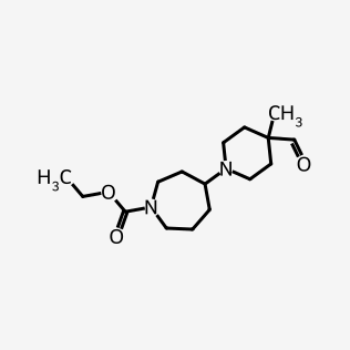 CCOC(=O)N1CCCC(N2CCC(C)(C=O)CC2)CC1